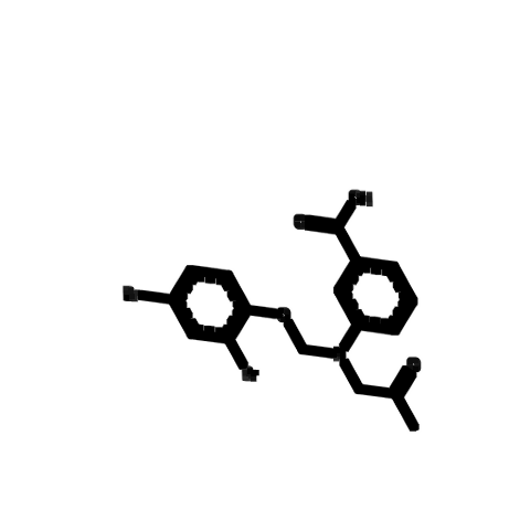 CC(=O)CN(COc1ccc(Br)cc1Br)c1cccc(C(=O)O)c1